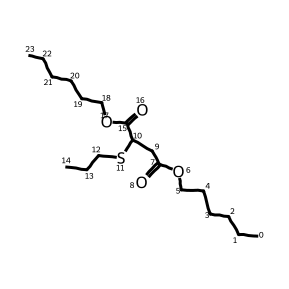 CCCCCCOC(=O)CC(SCCC)C(=O)OCCCCCC